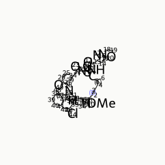 CO[C@H]1/C=C/C[C@H](C)CS(=O)(NC(=O)c2cc3n(n2)CCO3)=NC(=O)c2ccc3c(c2)N(C[C@@H]2CC[C@H]21)C[C@@]1(CCCc2cc(Cl)ccc21)CO3